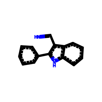 N=Cc1c(-c2ccccc2)[nH]c2ccccc12